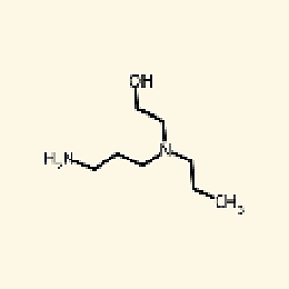 CCCN(CCO)CCCN